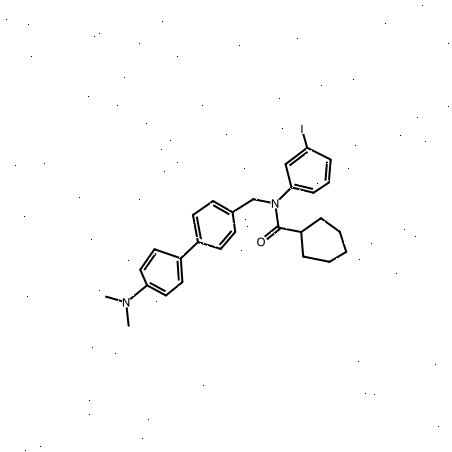 CN(C)c1ccc(-c2ccc(CN(C(=O)C3CCCCC3)c3cccc(I)c3)cc2)cc1